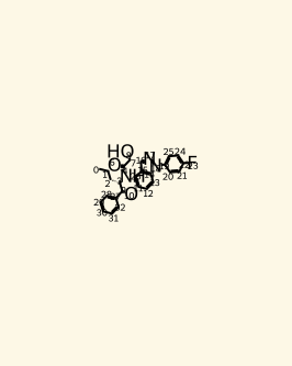 CCC[C@H](NC(=O)CO)[C@@H](Oc1ccc2c(cnn2-c2ccc(F)cc2)c1)c1ccccc1